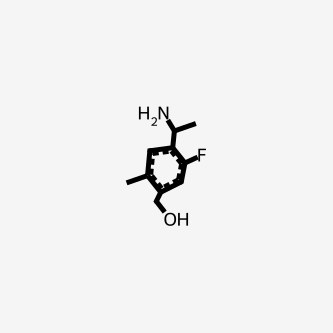 Cc1cc(C(C)N)c(F)cc1CO